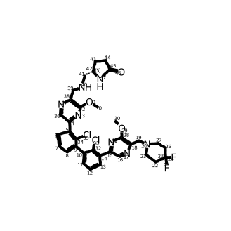 COc1nc(-c2cccc(-c3cccc(-c4cnc(CN5CCC(F)(F)CC5)c(OC)n4)c3Cl)c2Cl)cnc1CNC[C@@H]1CCC(=O)N1